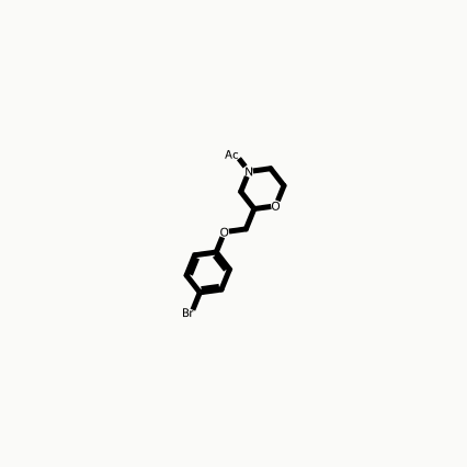 CC(=O)N1CCOC(COc2ccc(Br)cc2)C1